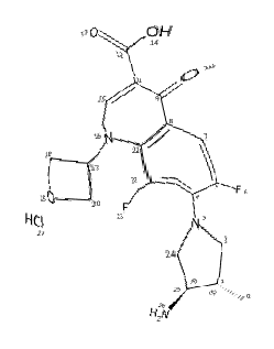 C[C@H]1CN(c2c(F)cc3c(=O)c(C(=O)O)cn(C4COC4)c3c2F)C[C@@H]1N.Cl